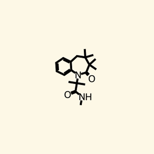 CNC(=O)C(C)(C)N1C(=O)C(C)(C)C(C)(C)Cc2ccccc21